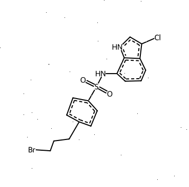 O=S(=O)(Nc1cccc2c(Cl)c[nH]c12)c1ccc(CCCBr)cc1